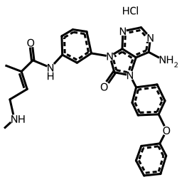 CNCC=C(C)C(=O)Nc1cccc(-n2c(=O)n(-c3ccc(Oc4ccccc4)cc3)c3c(N)ncnc32)c1.Cl